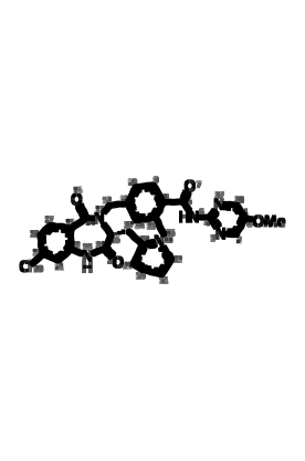 COc1cnc(NC(=O)c2ccc(CN3C(=O)c4ccc(Cl)cc4NC(=O)[C@H]3Cc3ccccn3)cc2C)nc1